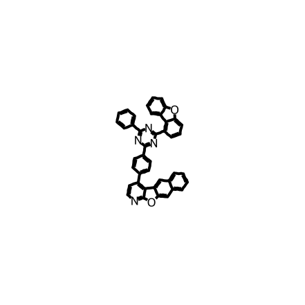 c1ccc(-c2nc(-c3ccc(-c4ccnc5oc6cc7ccccc7cc6c45)cc3)nc(-c3cccc4oc5ccccc5c34)n2)cc1